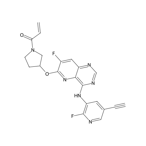 C#Cc1cnc(F)c(Nc2ncnc3cc(F)c(OC4CCN(C(=O)C=C)C4)nc23)c1